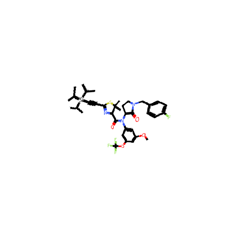 COc1cc(OC(F)(F)F)cc(N(C(=O)C2N=C(C#C[Si](C(C)C)(C(C)C)C(C)C)SC2(C)C)C2CCN(Cc3ccc(F)cc3)C2=O)c1